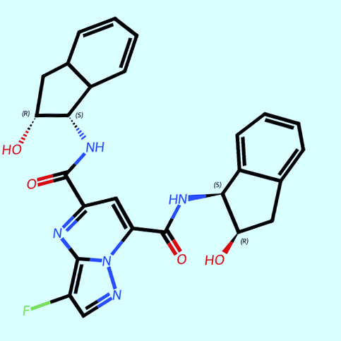 O=C(N[C@H]1C2C=CC=CC2C[C@H]1O)c1cc(C(=O)N[C@H]2c3ccccc3C[C@H]2O)n2ncc(F)c2n1